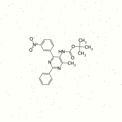 Cc1nc(-c2ccccc2)nc(-c2cccc([N+](=O)[O-])c2)c1NC(=O)OC(C)(C)C